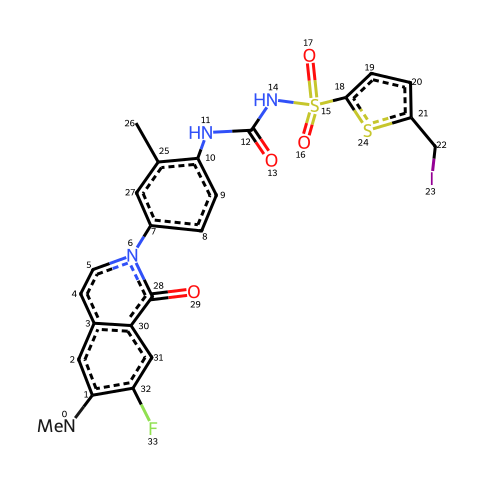 CNc1cc2ccn(-c3ccc(NC(=O)NS(=O)(=O)c4ccc(CI)s4)c(C)c3)c(=O)c2cc1F